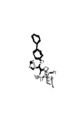 CC[Si](CC)(CC)OC(C(Oc1ccc(-c2ccccc2)cc1)n1cncn1)C(C)(C)C